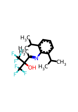 CC(=Nc1c(C(C)C)cccc1C(C)C)C(O)(C(F)(F)F)C(F)(F)F